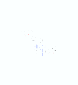 c1ccc(C2NC(c3ccc4oc5ccccc5c4c3)NC(c3cccc4c3sc3ccc(-c5cccc6c5oc5ccccc56)cc34)N2)cc1